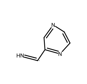 N=[C]c1cnccn1